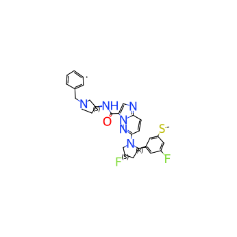 CSc1cc(F)cc([C@H]2C[C@H](F)CN2c2ccc3ncc(C(=O)N[C@H]4CCN(Cc5c[c]ccc5)C4)n3n2)c1